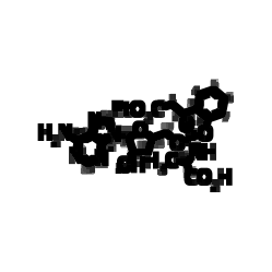 CCOC(=O)CCc1ccccc1OP(=O)(NC(C)C(=O)O)OCC1CC(O)[C@H](n2cnc3c(N)ncnc32)O1